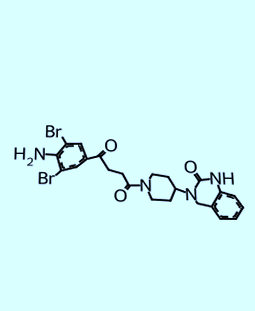 Nc1c(Br)cc(C(=O)CCC(=O)N2CCC(N3Cc4ccccc4NC3=O)CC2)cc1Br